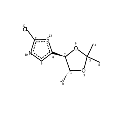 [CH2][C@H]1OC(C)(C)O[C@@H]1c1cnc(Cl)s1